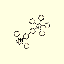 c1ccc(-c2c(-c3ccccc3)c(-c3ccccc3)n(-c3ccc(-c4ccc(-n5c(-c6ccccc6)nnc5-c5ccccc5)cc4)cc3)c2-c2ccccc2)cc1